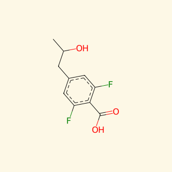 CC(O)Cc1cc(F)c(C(=O)O)c(F)c1